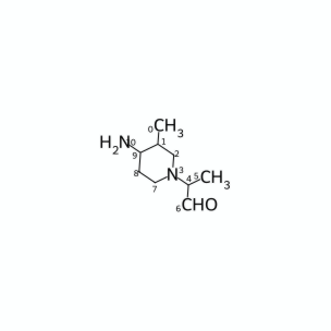 CC1CN(C(C)C=O)CCC1N